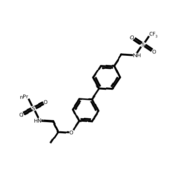 CCCS(=O)(=O)NCC(C)Oc1ccc(-c2ccc(CNS(=O)(=O)C(F)(F)F)cc2)cc1